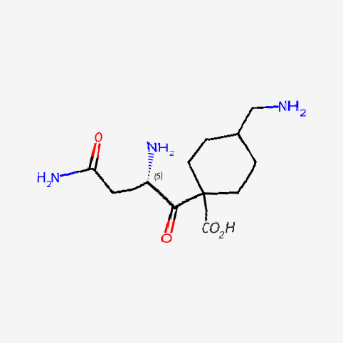 NCC1CCC(C(=O)O)(C(=O)[C@@H](N)CC(N)=O)CC1